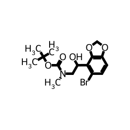 CN(CC(O)c1c(Br)ccc2c1OCO2)C(=O)OC(C)(C)C